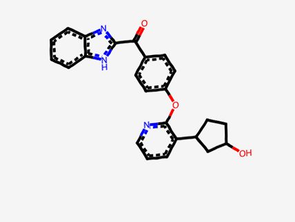 O=C(c1ccc(Oc2ncccc2C2CCC(O)C2)cc1)c1nc2ccccc2[nH]1